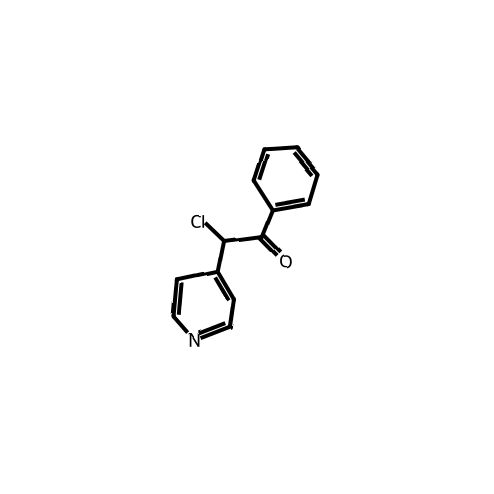 O=C(c1ccccc1)C(Cl)c1ccncc1